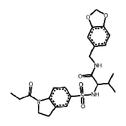 CCC(=O)N1CCc2cc(S(=O)(=O)NC(C(=O)NCc3ccc4c(c3)OCO4)C(C)C)ccc21